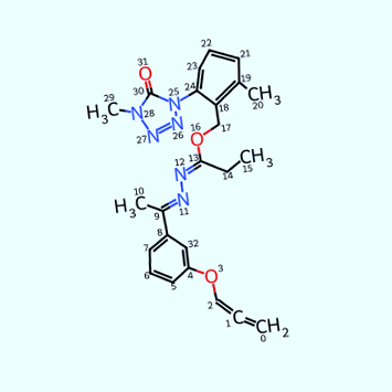 C=C=COc1cccc(/C(C)=N/N=C(\CC)OCc2c(C)cccc2-n2nnn(C)c2=O)c1